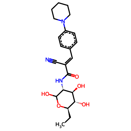 CC[C@H]1OC(O)[C@H](NC(=O)/C(C#N)=C/c2ccc(N3CCCCC3)cc2)[C@@H](O)[C@@H]1O